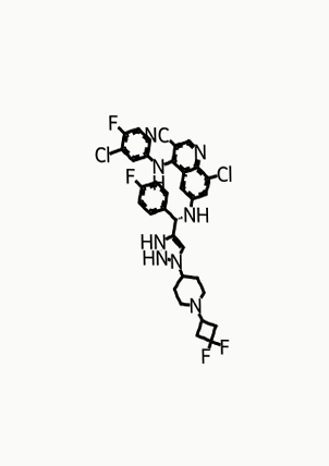 N#Cc1cnc2c(Cl)cc(N[C@H](C3=CN(C4CCN(C5CC(F)(F)C5)CC4)NN3)c3ccc(F)cc3)cc2c1Nc1ccc(F)c(Cl)c1